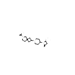 C[C@H]1CC(=O)N1C1CCN(C2CC3(CCN(C(=O)O)C3)C2)CC1